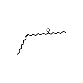 CCCCCCCC/C=C\CCCCCCCC(=O)CCCCCCC